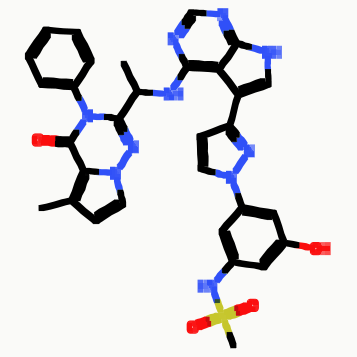 Cc1ccn2nc(C(C)Nc3ncnc4[nH]cc(-c5ccn(-c6cc(O)cc(NS(C)(=O)=O)c6)n5)c34)n(-c3ccccc3)c(=O)c12